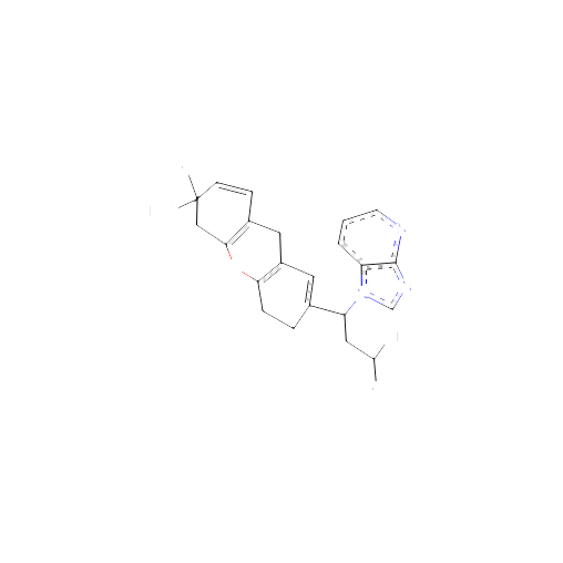 CC(C)CC(C1=CC2=C(CC1)OC1=C(C=CC(C)(C)C1)C2)n1cnc2ncccc21